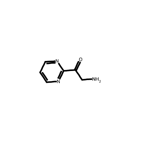 NCC(=O)c1ncccn1